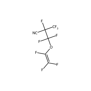 N#CC(F)(C(F)(F)F)C(F)(F)OC(F)=C(F)F